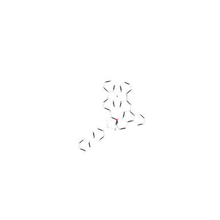 C/C=C(\NC(N)c1ccc(-c2ccccc2)cc1)c1ccc2c(c1)C1(c3ccccc3-2)c2ccccc2-c2cc3c4ccccc4c4ccccc4c3cc21